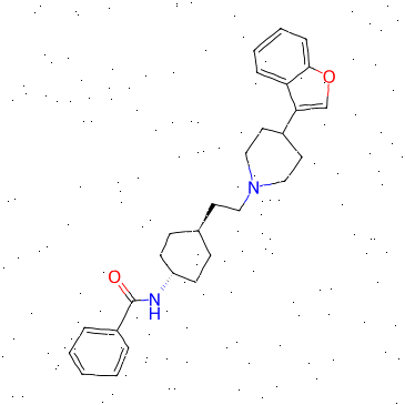 O=C(N[C@H]1CC[C@H](CCN2CCC(c3coc4ccccc34)CC2)CC1)c1ccccc1